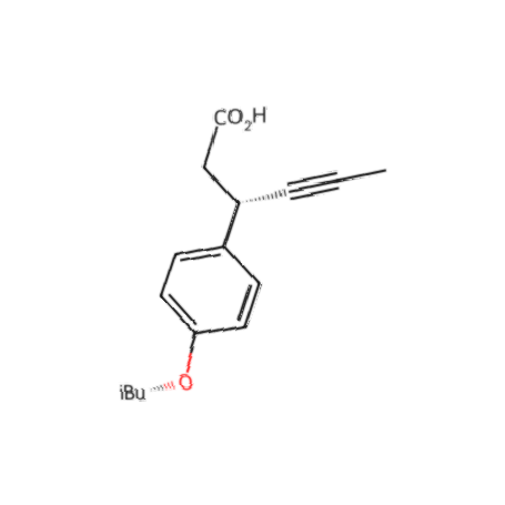 CC#C[C@@H](CC(=O)O)c1ccc(O[C@@H](C)CC)cc1